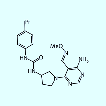 CON=Cc1c(N)ncnc1N1CCC(NC(=O)Nc2ccc(C(C)C)cc2)C1